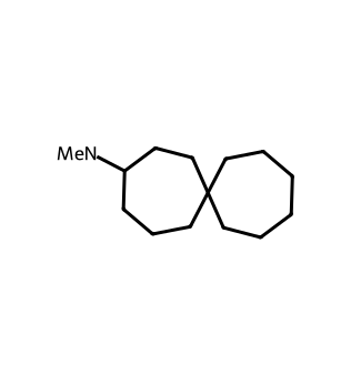 CNC1CCCC2(CCCCCC2)CC1